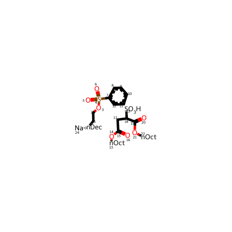 CCCCCCCCCCCCOS(=O)(=O)c1ccccc1.CCCCCCCCOC(=O)CC(C(=O)OCCCCCCCC)S(=O)(=O)O.[Na]